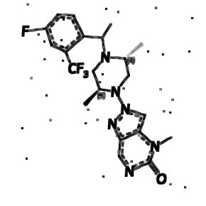 CC(c1ccc(F)cc1C(F)(F)F)N1C[C@H](C)N(n2cc3c(cnc(=O)n3C)n2)C[C@H]1C